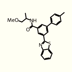 COCC(C)NC(=O)c1cc(-c2ccc(C)cc2)cc(-c2nc3ccccc3s2)c1